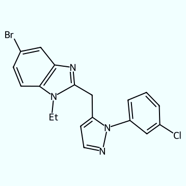 CCn1c(Cc2ccnn2-c2cccc(Cl)c2)nc2cc(Br)ccc21